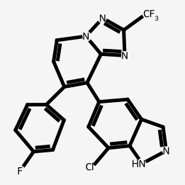 Fc1ccc(-c2ccn3nc(C(F)(F)F)nc3c2-c2cc(Cl)c3[nH]ncc3c2)cc1